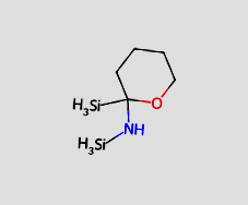 [SiH3]NC1([SiH3])CCCCO1